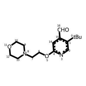 CC(C)(C)c1cnc(OCCN2CCOCC2)cc1C=O